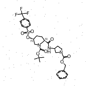 CC(C)(C)OC(=O)N1C[C@@H](OS(=O)(=O)c2ccc(C(F)(F)F)cc2)CC[C@H]1C(=O)NC1CCN(C(=O)OCc2ccccc2)C1